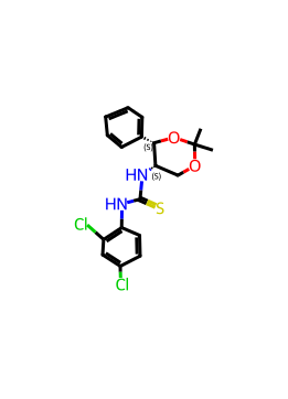 CC1(C)OC[C@H](NC(=S)Nc2ccc(Cl)cc2Cl)[C@H](c2ccccc2)O1